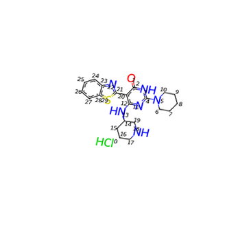 Cl.O=c1[nH]c(N2CCCCC2)nc(N[C@@H]2CCCNC2)c1-c1nc2ccccc2s1